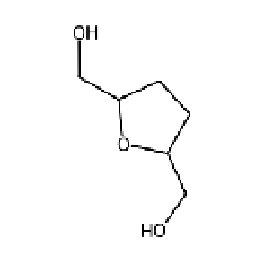 OCC1CCC(CO)O1